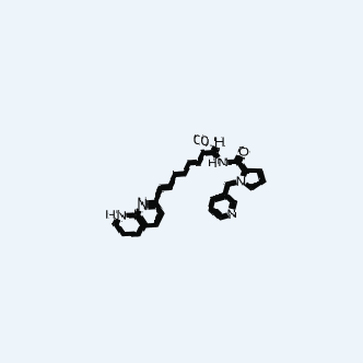 O=C(O)C(CCCCCCCc1ccc2c(n1)NCCC2)NC(=O)C1CCCN1Cc1cccnc1